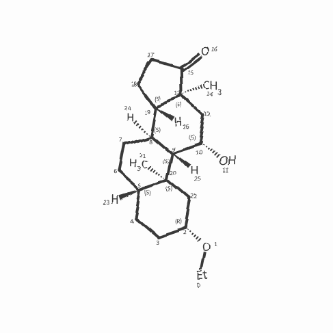 CCO[C@@H]1CC[C@@H]2CC[C@@H]3[C@H]([C@@H](O)C[C@]4(C)C(=O)CC[C@@H]34)[C@@]2(C)C1